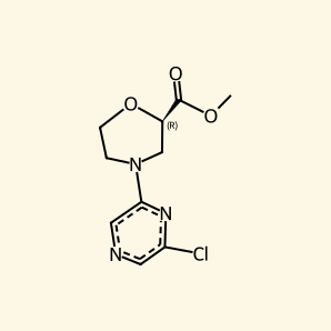 COC(=O)[C@H]1CN(c2cncc(Cl)n2)CCO1